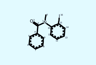 CN(C(=O)c1ccccc1)c1ccccc1I